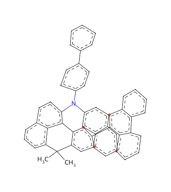 CC1(C)c2ccc(-c3cc4ccccc4c4ccccc34)cc2-c2c(N(c3ccc(-c4ccccc4)cc3)c3ccc4ccccc4c3)ccc3cccc1c23